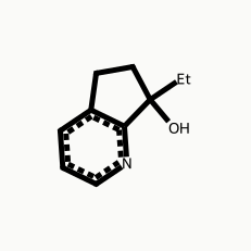 CCC1(O)CCc2cccnc21